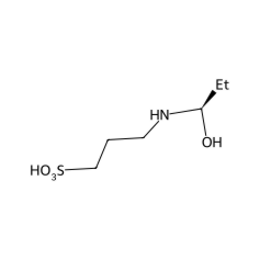 CC[C@@H](O)NCCCS(=O)(=O)O